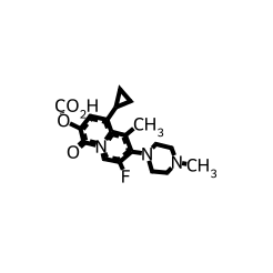 Cc1c(N2CCN(C)CC2)c(F)cn2c(=O)c(OC(=O)O)cc(C3CC3)c12